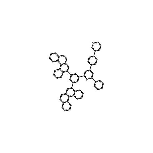 c1ccc(-c2nc(-c3ccc(-c4cccnc4)cc3)cc(-c3cc(-c4cc5ccc6ccccc6c5c5ccccc45)cc(-c4cc5ccc6ccccc6c5c5ccccc45)c3)n2)cc1